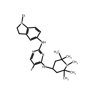 CCN1CCc2cc(Nc3ncc(F)c(NC4CC(C)(C)N(C)C(C)(C)C4)n3)ccc21